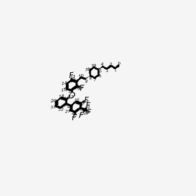 CCCCC[C@H]1CC[C@H](CCc2c(F)c[c]c(Oc3ccccc3-c3cc(F)c(C(F)(F)F)c(F)c3)c2F)CC1